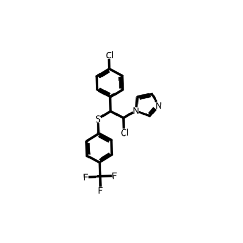 FC(F)(F)c1ccc(SC(c2ccc(Cl)cc2)C(Cl)n2ccnc2)cc1